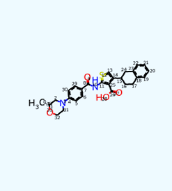 C[C@@H]1CN(c2ccc(C(=O)Nc3scc(C4CCc5ccccc5C4)c3C(=O)O)cc2)CCO1